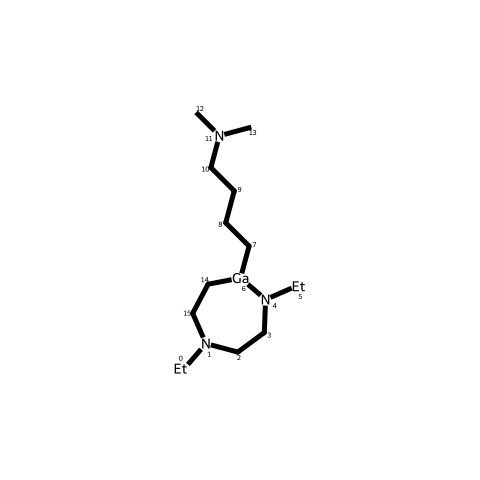 CCN1CC[N](CC)[Ga]([CH2]CCCN(C)C)[CH2]C1